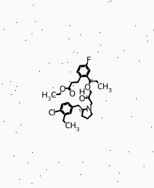 CCOC(=O)CCc1ccc(F)cc1[C@@H](CC)OC[C@H](O)CN1CCC[C@H]1Cc1ccc(Cl)c(CC)c1